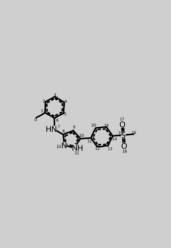 Cc1c[c]ccc1Nc1cc(-c2ccc(S(C)(=O)=O)cc2)[nH]n1